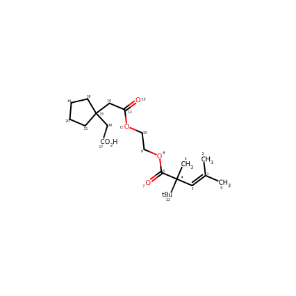 CC(C)=CC(C)(C(=O)OCCOC(=O)CC1(CC(=O)O)CCCC1)C(C)(C)C